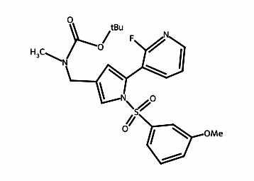 COc1cccc(S(=O)(=O)n2cc(CN(C)C(=O)OC(C)(C)C)cc2-c2cccnc2F)c1